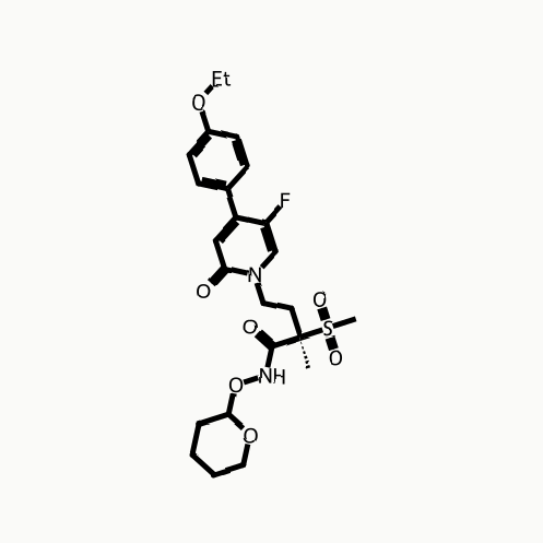 CCOc1ccc(-c2cc(=O)n(CC[C@](C)(C(=O)NOC3CCCCO3)S(C)(=O)=O)cc2F)cc1